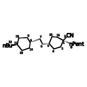 CCCCC[C@]1(C#N)CC[C@H](CC[C@H]2CC[C@H](CCCC)CC2)CC1